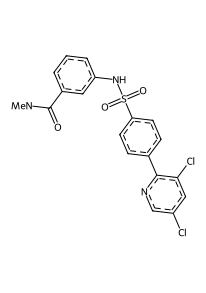 CNC(=O)c1cccc(NS(=O)(=O)c2ccc(-c3ncc(Cl)cc3Cl)cc2)c1